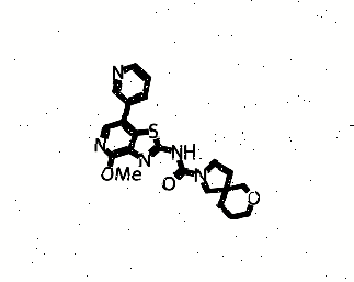 COc1ncc(-c2cccnc2)c2sc(NC(=O)N3CCC4(CCCOC4)C3)nc12